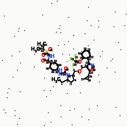 CCC1CCC(COCc2c(-c3ccccc3OC(F)(F)F)noc2C2CC2)N1C(=O)Nc1ccc(C(=O)NS(=O)(=O)C(C)C)cc1